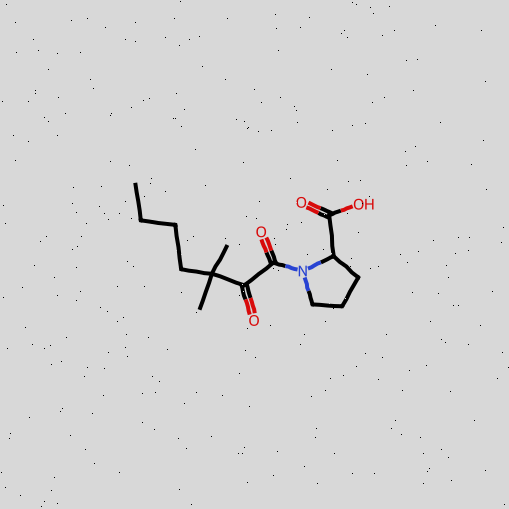 CCCCC(C)(C)C(=O)C(=O)N1CCCC1C(=O)O